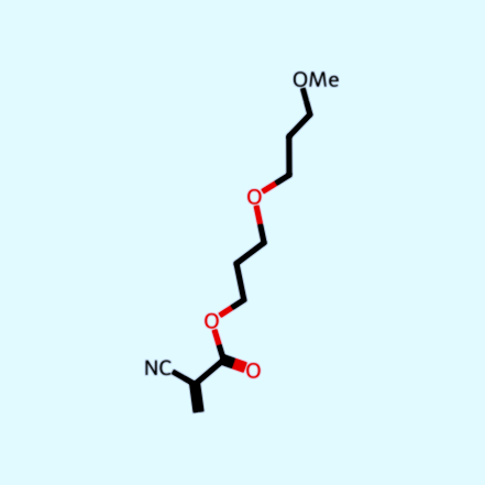 C=C(C#N)C(=O)OCCCOCCCOC